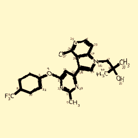 Cc1nc(OC2CCC(C(F)(F)F)CC2)cc(-c2cn(CC(C)(C)O)c3ccnc(Cl)c23)n1